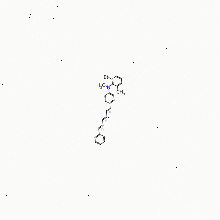 CCc1cccc(C)c1N(C)c1ccc(/C=C/C=C/C=C/c2ccccc2)cc1